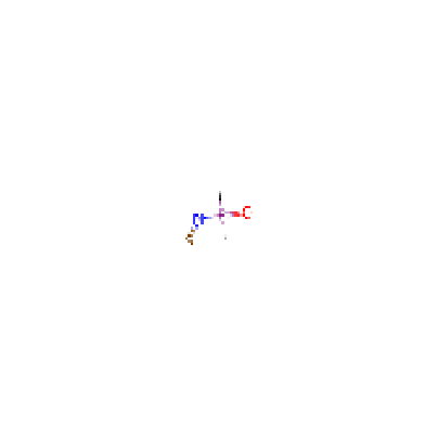 CP(C)(=O)N=S